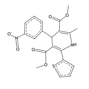 COC(=O)C1=C(C)NC(c2cccs2)=C(C(=O)OC)C1c1cccc([N+](=O)[O-])c1